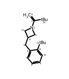 C=C(N1CC(Cc2ccccc2C(C)(C)C)C1)C(C)(C)C